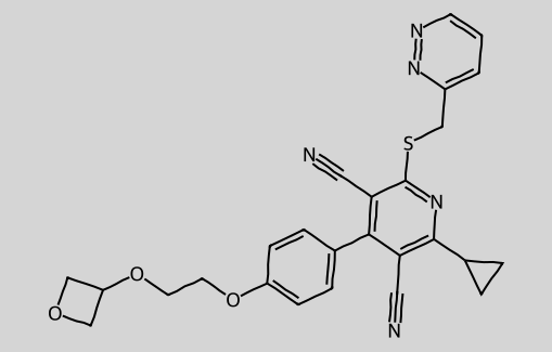 N#Cc1c(SCc2cccnn2)nc(C2CC2)c(C#N)c1-c1ccc(OCCOC2COC2)cc1